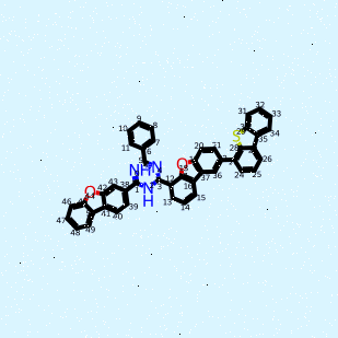 N=C(NC(/N=C/c1ccccc1)C1CC=Cc2c1oc1ccc(-c3cccc4c3sc3ccccc34)cc21)c1ccc2c(c1)oc1ccccc12